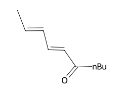 CC=CC=CC(=O)CCCC